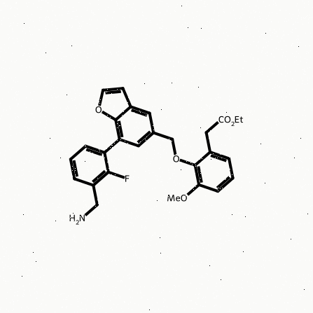 CCOC(=O)Cc1cccc(OC)c1OCc1cc(-c2cccc(CN)c2F)c2occc2c1